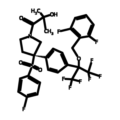 CC(C)(O)C(=O)N1CC[C@](c2ccc(C(OCc3c(F)cccc3F)(C(F)(F)F)C(F)(F)F)cc2)(S(=O)(=O)c2ccc(F)cc2)C1